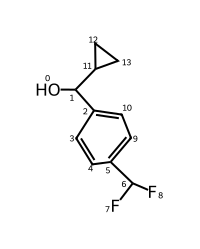 OC(c1ccc(C(F)F)cc1)C1CC1